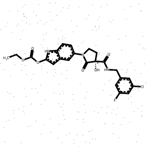 CCOC(=O)Oc1cc2cc(N3CC[C@@](O)(C(=O)NCc4cc(F)cc(Cl)c4)C3=O)ccc2[nH]1